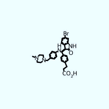 CN1CCN(Cc2ccc(NC(=C3C(=O)Nc4cc(Br)ccc43)c3ccc(CCC(=O)O)cc3)cc2)CC1